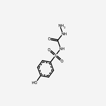 NNC(=O)NS(=O)(=O)c1ccc(O)cc1